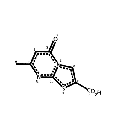 Cc1cc(=O)n2cc(C(=O)O)sc2n1